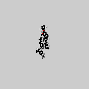 Cc1ccc2c(N)c(C(=O)N[C@H]3CCc4cc(N5C[C@H]6CC[C@@H](C5)C6C(=O)NCCOCC(C)(C)c5cc6cc(NC(=O)C7(c8ccc9c(c8)OC(F)(F)O9)CC7)c(F)cc6n5C[C@@H](O)CO)ccc4C3)sc2n1